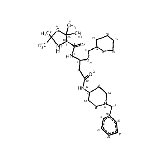 CC1(C)N[C@H](C(=O)NC(CC(=O)NC2CCN(Cc3ccccc3)CC2)SCC2CCCCC2)C(C)(C)S1